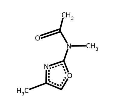 CC(=O)N(C)c1nc(C)co1